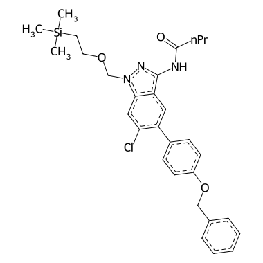 CCCC(=O)Nc1nn(COCC[Si](C)(C)C)c2cc(Cl)c(-c3ccc(OCc4ccccc4)cc3)cc12